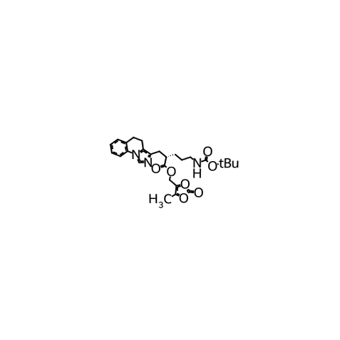 Cc1oc(=O)oc1COC(=O)[C@@H](CCCNC(=O)OC(C)(C)C)Cc1ncn2c1CCc1ccccc1-2